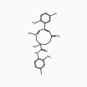 C=C1/C=C(c2cc(Cl)ccc2N)\C=[N+](\O)CC(O)(C(=O)Nc2ccc(F)cc2N)CC1